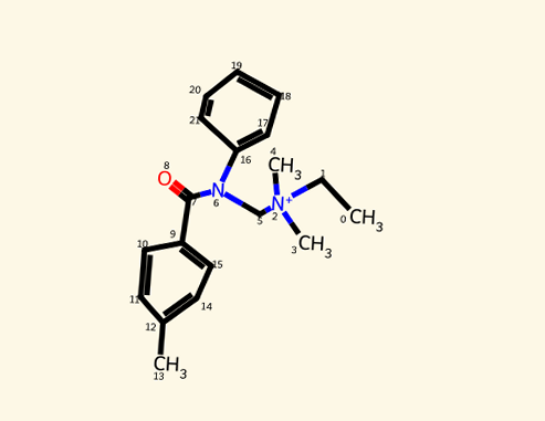 CC[N+](C)(C)CN(C(=O)c1ccc(C)cc1)c1ccccc1